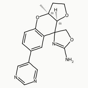 C[C@]12CCO[C@H]1C1(COC(N)=N1)c1cc(-c3cncnc3)ccc1O2